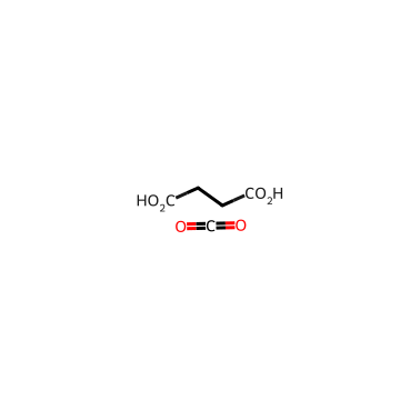 O=C(O)CCC(=O)O.O=C=O